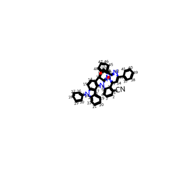 N#Cc1cccc(-n2c3ncccc3c3ccc4c(c5ccccc5n4-c4ccccc4)c32)c1-c1cc(-c2ccccc2)nc(-c2ccccc2)n1